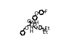 CCN(CC)C1CCN(CC(=O)NC(COCc2ccccc2)C(=O)Nc2ccc(Oc3ccc(F)cc3)cc2)C1